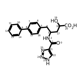 O=C(NC(Cc1ccc(-c2ccccc2)cc1)CC(O)C(=O)O)c1c[nH]nn1